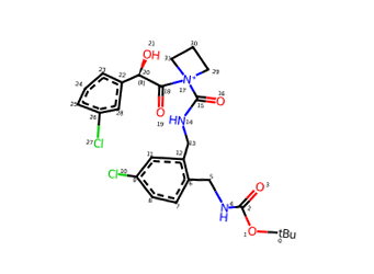 CC(C)(C)OC(=O)NCc1ccc(Cl)cc1CNC(=O)[N+]1(C(=O)[C@H](O)c2cccc(Cl)c2)CCC1